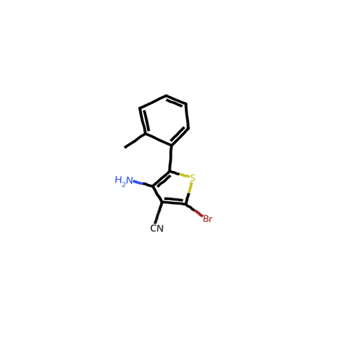 Cc1ccccc1-c1sc(Br)c(C#N)c1N